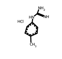 Cc1ccc(NC(=N)N)cc1.Cl